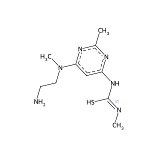 C/N=C(\S)Nc1cc(N(C)CCN)nc(C)n1